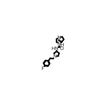 O=C(NC1CCN(CCc2ccc(F)cc2)C1)N1CCN2CC[C@H]1C2